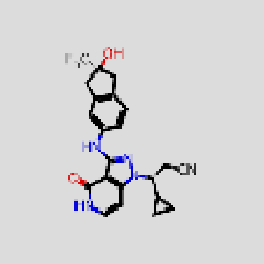 N#CC[C@@H](C1CC1)n1nc(Nc2ccc3c(c2)C[C@](O)(C(F)(F)F)C3)c2c(=O)[nH]ccc21